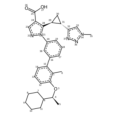 Cc1c(O[C@@H](C)C2CCCCC2)cccc1-c1cccc(-n2ncc(C(=O)O)c2[C@H]2C[C@@H]2c2cn(C)nn2)c1